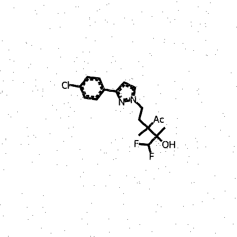 CC(=O)C(C)(CCn1ccc(-c2ccc(Cl)cc2)n1)C(C)(O)C(F)F